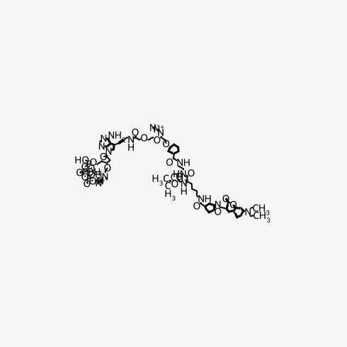 CCN(CC)c1ccc2cc(-c3nc4cc(C(=O)NCCCCC(NC(=O)OC(C)(C)C)C(=O)NCCNC(=O)c5cccc(OCC(N=[N+]=[N-])OCCOCC(=O)NCC#Cc6cn(C7CC(OCN=[N+]=[N-])C(COP(=O)(O)OP(=O)(O)OP(=O)(O)O)O7)c7ncnc(N)c67)c5)ccc4o3)c(=O)oc2c1